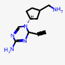 C#CC1N=C(N)N=CN1[C@@H]1CCC(CN)C1